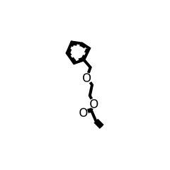 C#CC(=O)OCCOCc1ccccc1